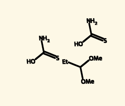 CCC(OC)OC.NC(O)=S.NC(O)=S